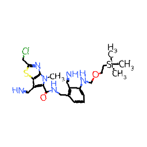 Cn1c(C(=O)NCc2cccc(NCOCC[Si](C)(C)C)c2C=N)c(C=N)c2sc(CCl)nc21